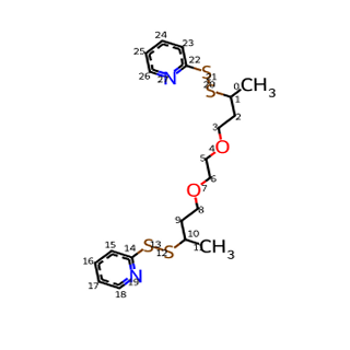 CC(CCOCCOCCC(C)SSc1ccccn1)SSc1ccccn1